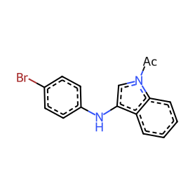 CC(=O)n1cc(Nc2ccc(Br)cc2)c2ccccc21